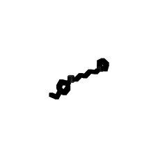 CCc1ccc(OCCCCCn2cccc2)cc1